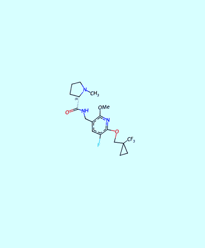 COc1nc(OCC2(C(F)(F)F)CC2)c(F)cc1CNC(=O)[C@@H]1CCCN1C